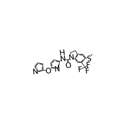 CSc1cc2c(cc1C(F)(F)F)N(C(=O)Nc1ccc(Oc3cccnc3)nc1)CC2